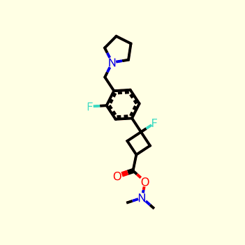 CN(C)OC(=O)C1CC(F)(c2ccc(CN3CCCC3)c(F)c2)C1